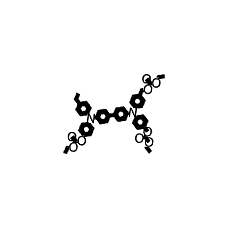 CCOC(=O)OCc1ccc(N(c2ccc(OC(=O)OCC)cc2)c2ccc(-c3ccc(N(c4ccc(CC)cc4)c4ccc(OC(=O)OCC)cc4)cc3)cc2)cc1